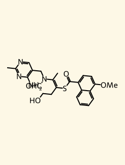 COc1ccc(C(=O)SC(CCO)=C(C)N(C=O)Cc2cnc(C)nc2N)c2ccccc12